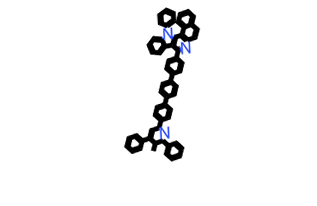 CC1C(c2ccccc2)=CC(c2ccc(-c3ccc(-c4ccc(-c5nc6ccc7ccccc7c6c6c5c5ccccc5n6-c5ccccc5)cc4)cc3)cc2)=NC1c1ccccc1